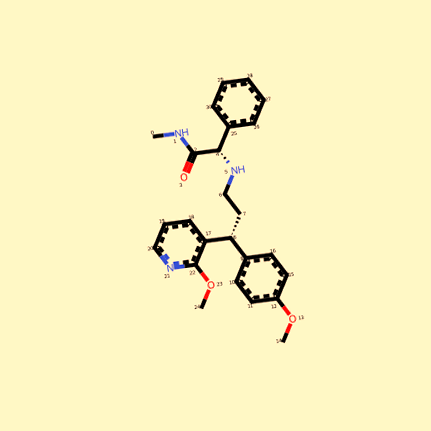 CNC(=O)[C@@H](NCC[C@H](c1ccc(OC)cc1)c1cccnc1OC)c1ccccc1